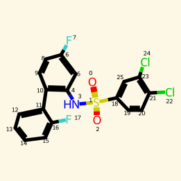 O=S(=O)(Nc1cc(F)ccc1-c1ccccc1F)c1ccc(Cl)c(Cl)c1